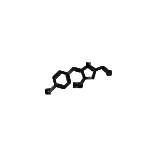 O=CC1=NC(=Cc2ccc(Cl)cc2)C(O)C1